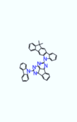 CC1(C)c2ccccc2-c2cc3c(cc21)c1ccccc1n3-c1nc2c3c(nc(-n4c5ccccc5c5ccccc54)nc3n1)-c1ccccc1-2